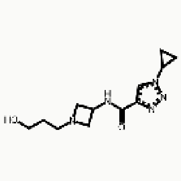 O=C(NC1CN(CCCO)C1)c1cn(C2CC2)nn1